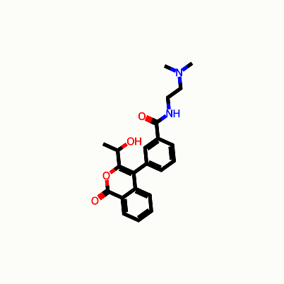 CC(O)c1oc(=O)c2ccccc2c1-c1cccc(C(=O)NCCN(C)C)c1